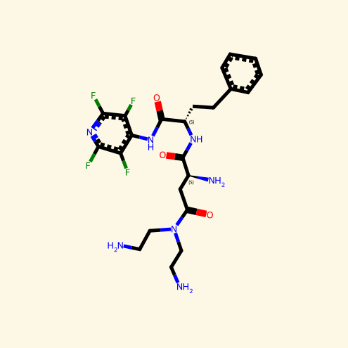 NCCN(CCN)C(=O)C[C@H](N)C(=O)N[C@@H](CCc1ccccc1)C(=O)Nc1c(F)c(F)nc(F)c1F